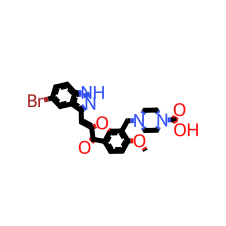 COc1ccc2c(c1CN1CCN(C(=O)O)CC1)O/C(=C\c1n[nH]c3ccc(Br)cc13)C2=O